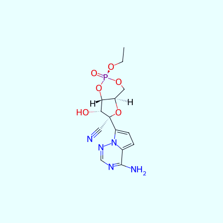 CCO[P@@]1(=O)OC[C@H]2O[C@@](C#N)(c3ccc4c(N)ncnn34)[C@H](O)[C@@H]2O1